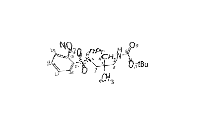 CCCN(CC(C)(C)CNC(=O)OC(C)(C)C)S(=O)(=O)c1ccccc1[N+](=O)[O-]